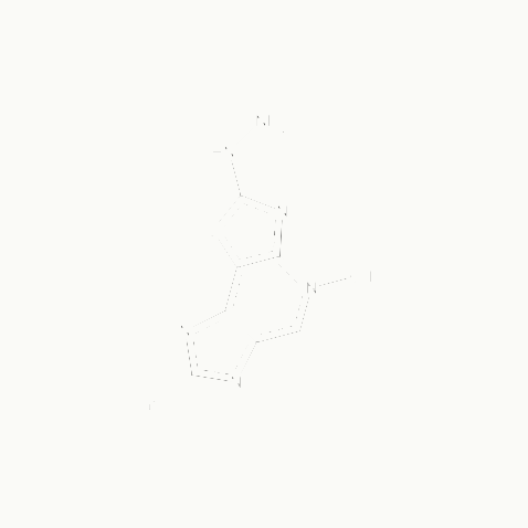 Cn1cc2nc(Cl)nc-2c2sc(NN)nc21